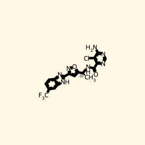 C[C@H](NC(=O)c1ncnc(N)c1Cl)c1cc(-c2nc3ccc(C(F)(F)F)cc3[nH]2)no1